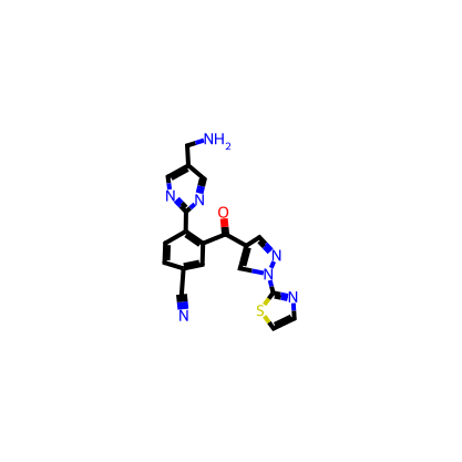 N#Cc1ccc(-c2ncc(CN)cn2)c(C(=O)c2cnn(-c3nccs3)c2)c1